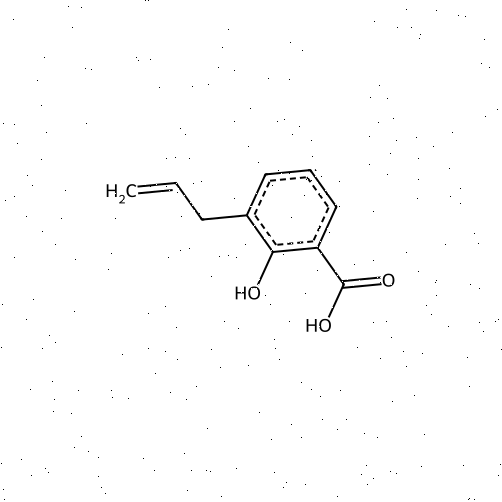 C=CCc1c[c]cc(C(=O)O)c1O